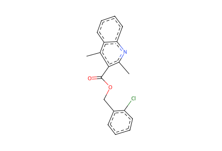 Cc1nc2ccccc2c(C)c1C(=O)OCc1ccccc1Cl